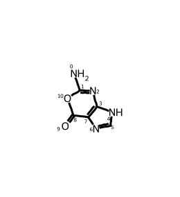 Nc1nc2[nH]cnc2c(=O)o1